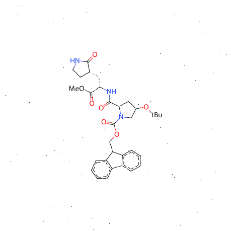 COC(=O)[C@H](C[C@@H]1CCNC1=O)NC(=O)C1CC(OC(C)(C)C)CN1C(=O)OCC1c2ccccc2-c2ccccc21